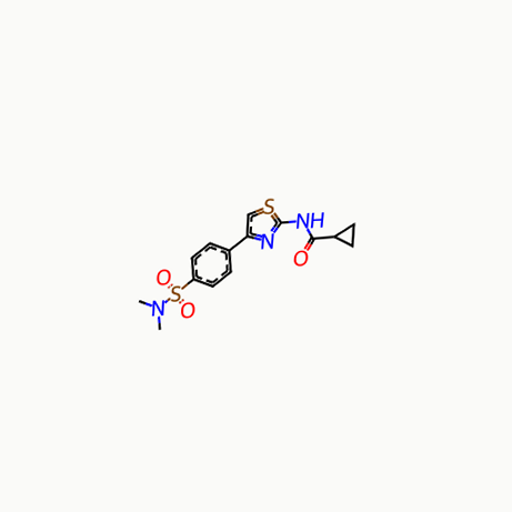 CN(C)S(=O)(=O)c1ccc(-c2csc(NC(=O)C3CC3)n2)cc1